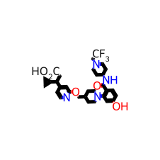 O=C(O)CC(c1ccnc(OCC2CCN(c3cc(O)ccc3C(=O)NC3CCN(CC(F)(F)F)CC3)CC2)c1)C1CC1